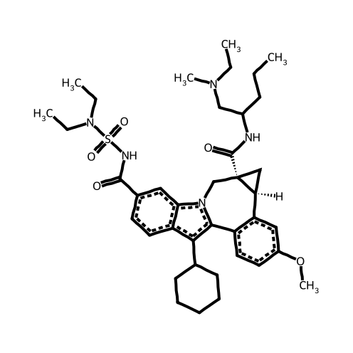 CCCC(CN(C)CC)NC(=O)[C@]12C[C@H]1c1cc(OC)ccc1-c1c(C3CCCCC3)c3ccc(C(=O)NS(=O)(=O)N(CC)CC)cc3n1C2